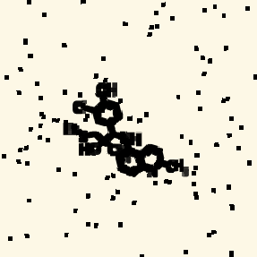 CCSCC(O)(C(Nc1cccc2nc(C)ccc12)c1ccc(O)c(Cl)c1)C(F)(F)F